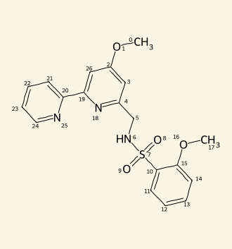 COc1cc(CNS(=O)(=O)c2ccccc2OC)nc(-c2ccccn2)c1